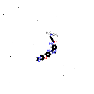 CN(C)CC#CC(=O)Nc1ccc2ncnc(Nc3ccc(Oc4ccn5ccnc5c4)cc3)c2c1